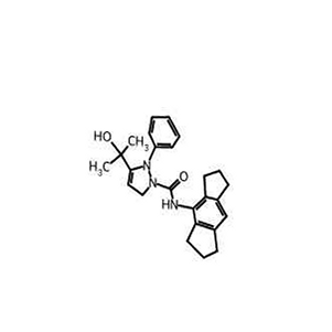 CC(C)(O)C1=CCN(C(=O)Nc2c3c(cc4c2CCC4)CCC3)N1c1ccccc1